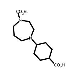 CCOC(=O)N1CCCN(C2CCC(C(=O)O)CC2)CC1